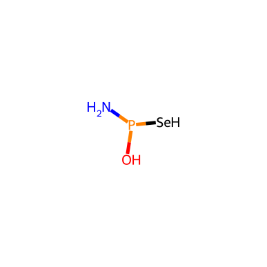 NP(O)[SeH]